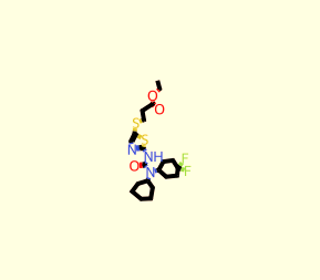 CCOC(=O)CCSc1cnc(NC(=O)N(C2CCCCC2)C2CCC(F)(F)CC2)s1